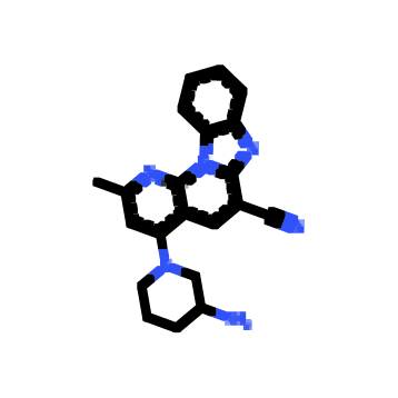 Cc1cc(N2CCCC(N)C2)c2cc(C#N)c3nc4ccccc4n3c2n1